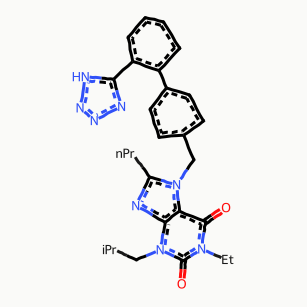 CCCc1nc2c(c(=O)n(CC)c(=O)n2CC(C)C)n1Cc1ccc(-c2ccccc2-c2nnn[nH]2)cc1